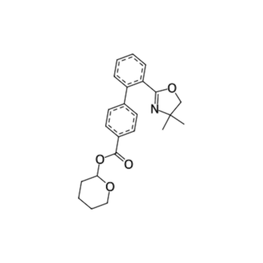 CC1(C)COC(c2ccccc2-c2ccc(C(=O)OC3CCCCO3)cc2)=N1